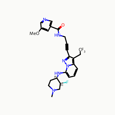 COc1cncc(C(=O)NCC#Cc2nn3c(N[C@@H]4CCN(C)C[C@@H]4F)cccc3c2CC(F)(F)F)c1